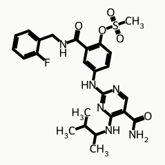 CC(C)C(C)Nc1nc(Nc2ccc(OS(C)(=O)=O)c(C(=O)NCc3ccccc3F)c2)ncc1C(N)=O